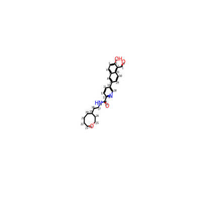 O=Cc1c(O)ccc2cc(-c3ccc(C(=O)NCCC4CCCCOCC4)nc3)ccc12